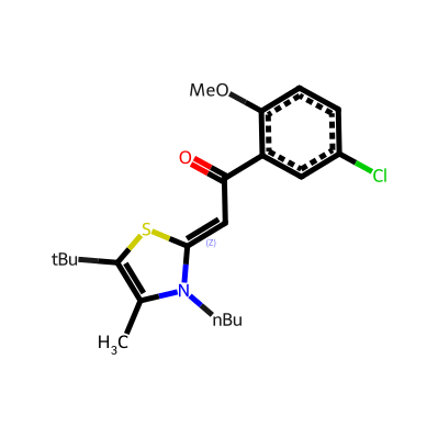 CCCCN1C(C)=C(C(C)(C)C)S/C1=C\C(=O)c1cc(Cl)ccc1OC